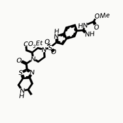 CCOC(=O)CC1CN(S(=O)(=O)c2cc3cc(C(=N)NC(=O)OC)ccc3[nH]2)CCN1C(=O)c1nc2c(s1)CNC(C)C2